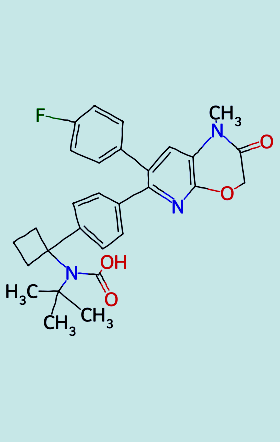 CN1C(=O)COc2nc(-c3ccc(C4(N(C(=O)O)C(C)(C)C)CCC4)cc3)c(-c3ccc(F)cc3)cc21